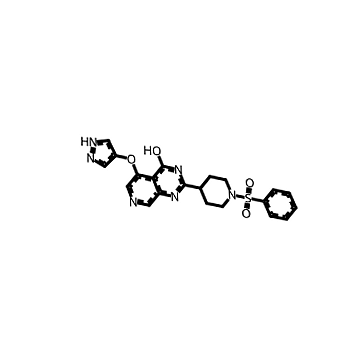 O=S(=O)(c1ccccc1)N1CCC(c2nc(O)c3c(Oc4cn[nH]c4)cncc3n2)CC1